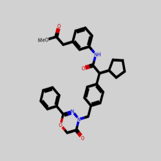 COC(=O)Cc1cccc(NC(=O)C(c2ccc(CN3N=C(c4ccccc4)OCC3=O)cc2)C2CCCC2)c1